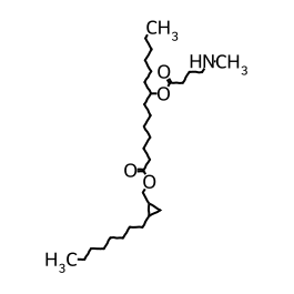 CCCCCCCCC1CC1COC(=O)CCCCCCC(CCCCCC)OC(=O)CCCNC